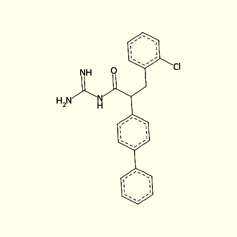 N=C(N)NC(=O)C(Cc1ccccc1Cl)c1ccc(-c2ccccc2)cc1